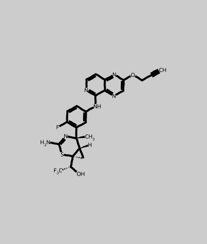 C#CCOc1cnc2c(Nc3ccc(F)c([C@@]4(C)N=C(N)S[C@@]5([C@H](O)C(F)(F)F)C[C@H]54)c3)nccc2n1